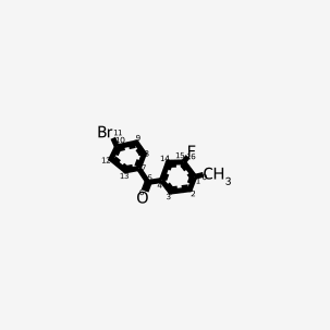 Cc1ccc(C(=O)c2ccc(Br)cc2)cc1F